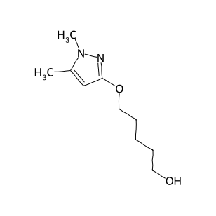 Cc1cc(OCCCCCO)nn1C